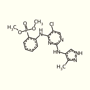 COP(=O)(OC)c1ccccc1Nc1nc(Nc2c[nH]nc2C)ncc1Cl